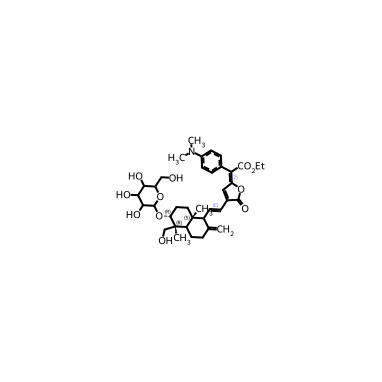 C=C1CCC2[C@](C)(CC[C@@H](OC3OC(CO)C(O)C(O)C3O)[C@@]2(C)CO)C1/C=C/C1=CC(=C(/C(=O)OCC)c2ccc(N(C)C)cc2)/OC1=O